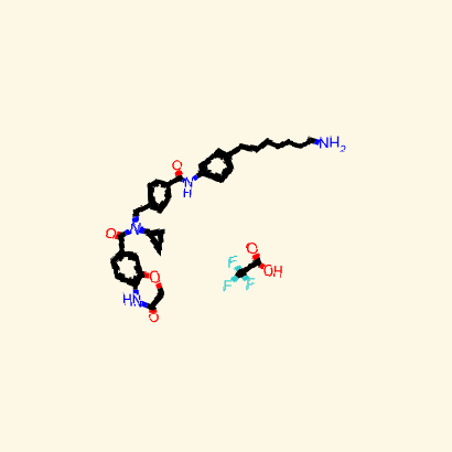 NCCCCCCCc1ccc(NC(=O)c2ccc(CN(C(=O)c3ccc4c(c3)OCC(=O)N4)C3CC3)cc2)cc1.O=C(O)C(F)(F)F